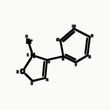 BrN1O[CH]C=C1c1ccccc1